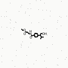 CCOC(=O)CCNC(=O)c1ccc(C(CO)C(C)C)cc1